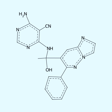 CC(O)(Nc1ncnc(N)c1C#N)c1cc2nccn2nc1-c1ccccc1